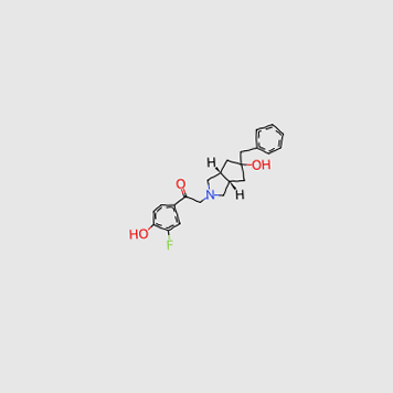 O=C(CN1C[C@@H]2CC(O)(Cc3ccccc3)C[C@@H]2C1)c1ccc(O)c(F)c1